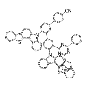 N#Cc1ccc(-c2ccc(-n3c4ccccc4c4c5sc6ccccc6c5ccc43)c(-c3ccc(-n4c5ccccc5c5c6sc7ccccc7c6ccc54)c(-c4nc(-c5ccccc5)nc(-c5ccccc5)n4)c3)c2)cc1